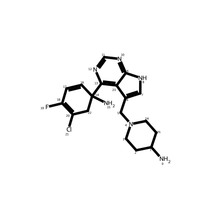 NC1CCN(Cc2c[nH]c3ncnc(C4(N)C=CC(F)=C(Cl)C4)c23)CC1